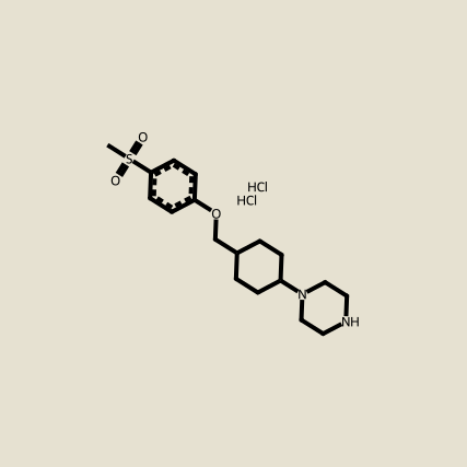 CS(=O)(=O)c1ccc(OCC2CCC(N3CCNCC3)CC2)cc1.Cl.Cl